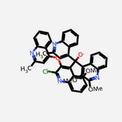 COc1nc2ccccc2c(C([O])(c2cc(C)nc3ccccc23)c2c(Oc3cc(C)nc4ccccc34)c(Cl)nc3cccc(OC)c23)c1OC